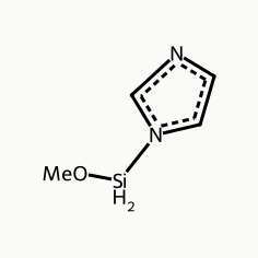 CO[SiH2]n1ccnc1